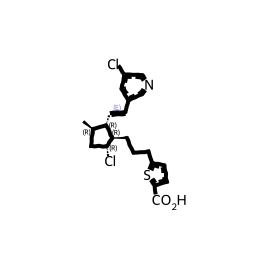 C[C@@H]1C[C@@H](Cl)[C@H](CCCc2ccc(C(=O)O)s2)[C@H]1/C=C/c1cncc(Cl)c1